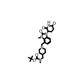 CN(CC1CCN(Cc2cccc3c2n(C)c(=O)n3C2CCC(=O)NC2=O)CC1)C(=O)OC(C)(C)C